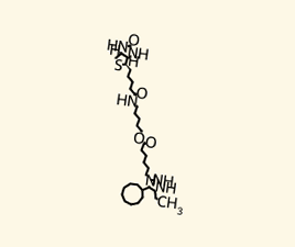 CCC1NNN(CCCCCC(=O)OCCCCCNC(=O)CCCC[C@H]2SC[C@@H]3NC(=O)N[C@@H]32)C1C1CCCCCCCC1